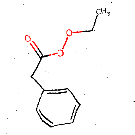 C[CH]OOC(=O)Cc1ccccc1